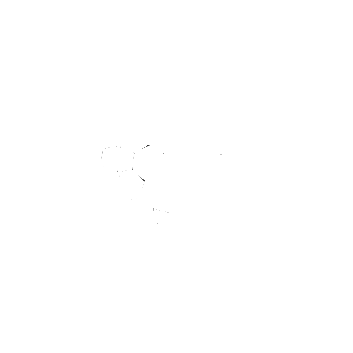 O=C(O)CCCCCC[C@H]1[C@@H](C[S+]([O-])C2CC2)[C@H]2CC[C@@H]1O2